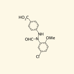 COc1ccc(Cl)cc1N(C=O)Nc1ccc(C(=O)O)cc1